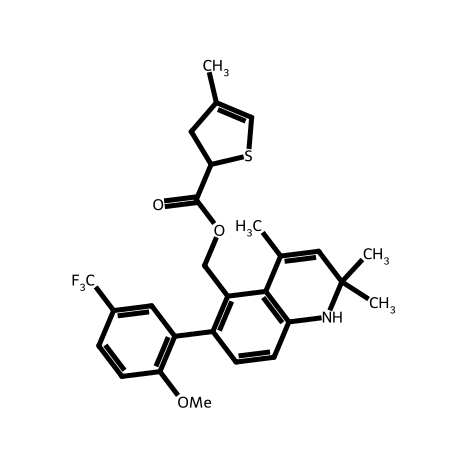 COc1ccc(C(F)(F)F)cc1-c1ccc2c(c1COC(=O)C1CC(C)=CS1)C(C)=CC(C)(C)N2